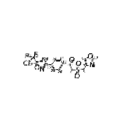 O=C(CS(=O)(=O)Cc1cocn1)c1ccc(-c2noc(C(F)(F)Cl)n2)cc1